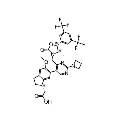 COc1cc2c(cc1-c1cnc(N3CCC3)nc1CN1C(=O)O[C@H](c3cc(C(F)(F)F)cc(C(F)(F)F)c3)[C@@H]1C)[C@H](CC(=O)O)CC2